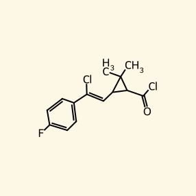 CC1(C)C(C=C(Cl)c2ccc(F)cc2)C1C(=O)Cl